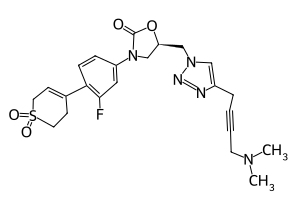 CN(C)CC#CCc1cn(C[C@H]2CN(c3ccc(C4=CCS(=O)(=O)CC4)c(F)c3)C(=O)O2)nn1